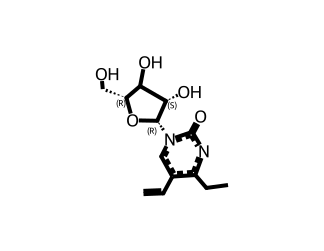 C=Cc1cn([C@@H]2O[C@H](CO)C(O)[C@@H]2O)c(=O)nc1CC